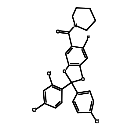 O=C(c1cc2c(cc1F)OC(c1ccc(Cl)cc1)(c1ccc(Cl)cc1Cl)O2)N1CCCCC1